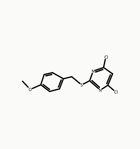 COc1ccc(CSc2nc(Cl)cc(Cl)n2)cc1